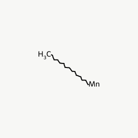 CCCCCCCCCCCCCC[CH2][Mn]